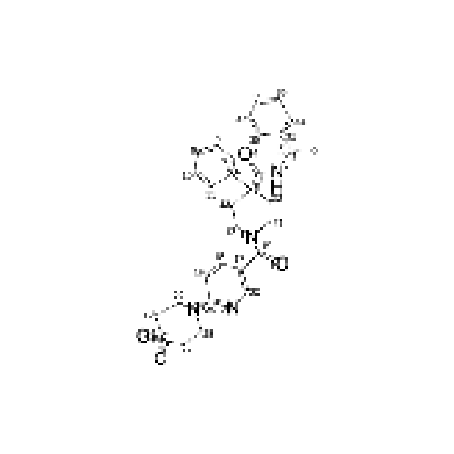 C[C@H](NC(=O)C1(c2ccccc2)CCN(C(=O)c2ccc(N3CCS(=O)(=O)CC3)nc2)CC1)c1ccccc1